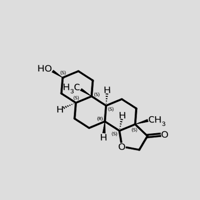 C[C@]12CC[C@H](O)C[C@@H]1CC[C@@H]1[C@@H]2CC[C@]2(C)C(=O)CO[C@@H]12